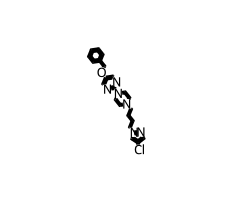 Clc1cnn(CCCCN2CCN(c3ncc(OCc4ccccc4)cn3)CC2)c1